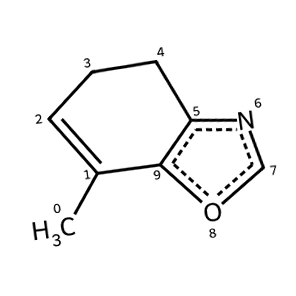 CC1=CCCc2ncoc21